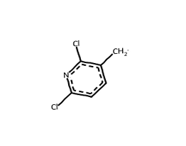 [CH2]c1ccc(Cl)nc1Cl